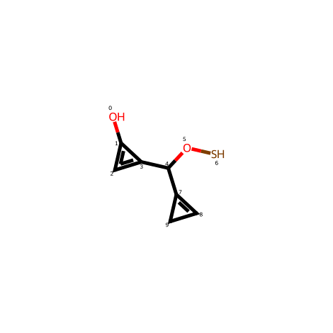 OC1=C=C1C(OS)C1=CC1